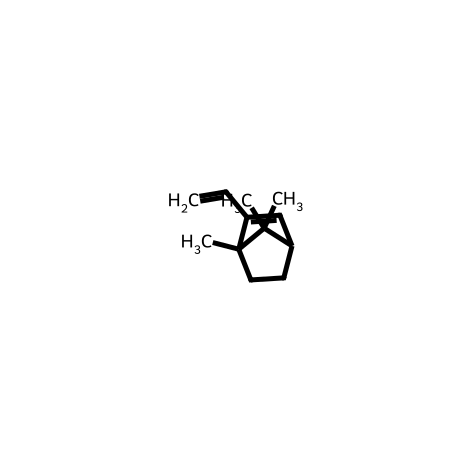 C=CC1=CC2CCC1(C)C2(C)C